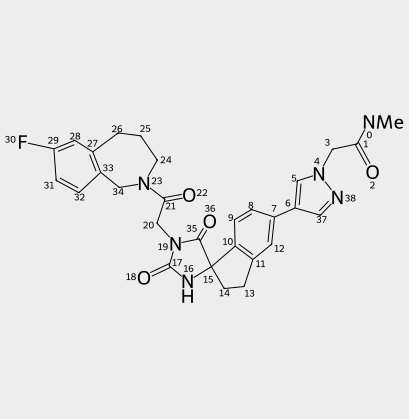 CNC(=O)Cn1cc(-c2ccc3c(c2)CCC32NC(=O)N(CC(=O)N3CCCc4cc(F)ccc4C3)C2=O)cn1